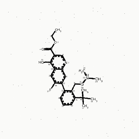 CCOC(=O)c1cnc2cc(-c3cccc(C(C)(C)C)c3CO[SiH](C)C)c(F)cc2c1O